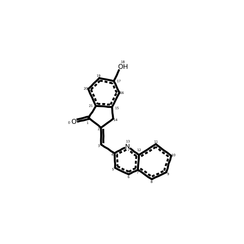 O=C1C(=Cc2ccc3ccccc3n2)Cc2cc(O)ccc21